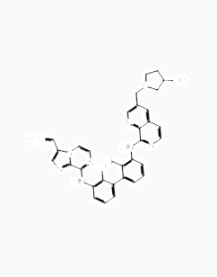 C=Cc1cnc2c(Nc3cccc(-c4cccc(Nc5nccc6cc(CN7CC[C@@H](O)C7)cnc56)c4Cl)c3Cl)nccn12